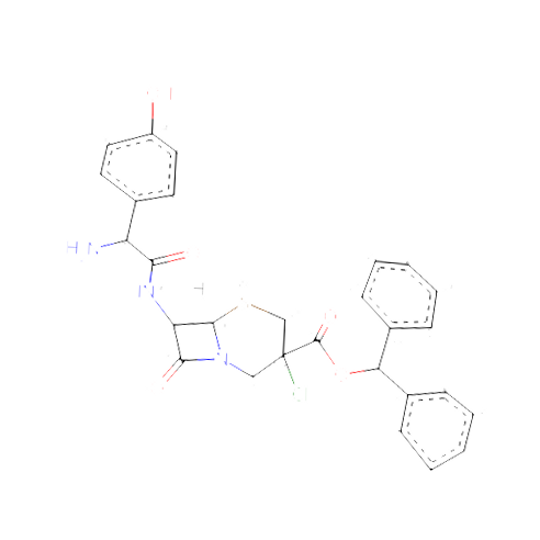 NC(C(=O)NC1C(=O)N2CC(Cl)(C(=O)OC(c3ccccc3)c3ccccc3)CS[C@H]12)c1ccc(O)cc1